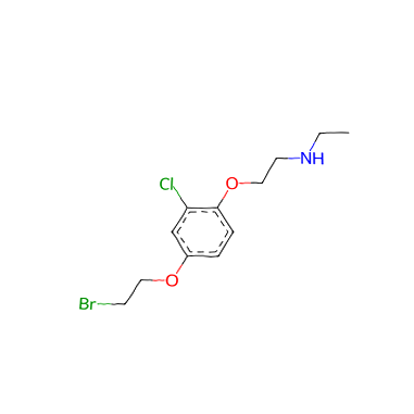 CCNCCOc1ccc(OCCBr)cc1Cl